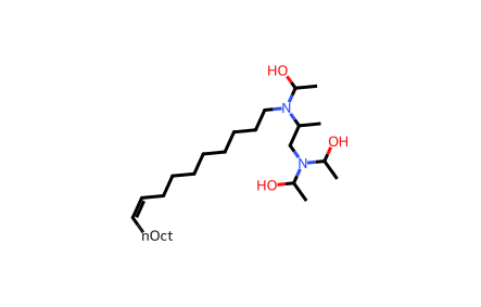 CCCCCCCC/C=C\CCCCCCCCN(C(C)O)C(C)CN(C(C)O)C(C)O